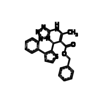 CC1=C(C(=O)OCc2ccccc2)C(c2sccc2-c2ccccc2)n2nnnc2N1